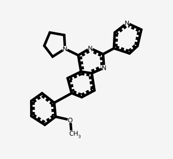 COc1ccccc1-c1ccc2nc(-c3cccnc3)nc(N3CCCC3)c2c1